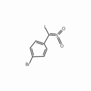 O=S(=O)=C(I)c1ccc(Br)cc1